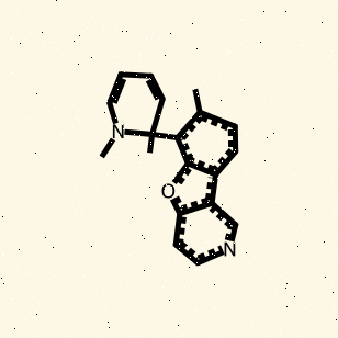 Cc1ccc2c(oc3ccncc32)c1C1(C)C=CC=CN1C